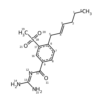 CCC/C=C/Cc1ccc(C(=O)N=C(N)N)cc1S(C)(=O)=O